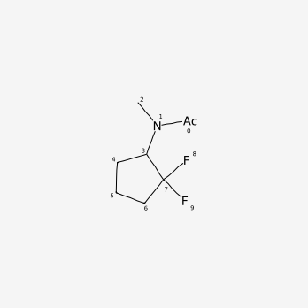 CC(=O)N(C)C1CCCC1(F)F